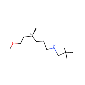 COCC[C@@H](C)CCCNCC(C)(C)C